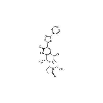 CC(C)c1[nH]c(=O)c(-c2csc(-c3ccncc3)n2)cc1C(=O)OCC(C)N1CCCC1=O